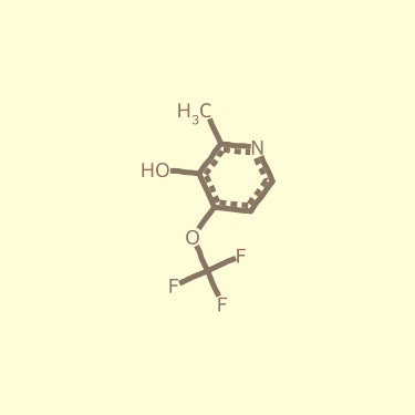 Cc1nccc(OC(F)(F)F)c1O